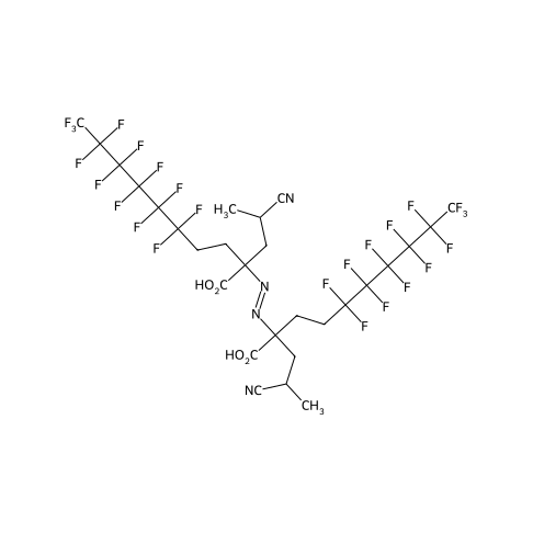 CC(C#N)CC(CCC(F)(F)C(F)(F)C(F)(F)C(F)(F)C(F)(F)C(F)(F)F)(N=NC(CCC(F)(F)C(F)(F)C(F)(F)C(F)(F)C(F)(F)C(F)(F)F)(CC(C)C#N)C(=O)O)C(=O)O